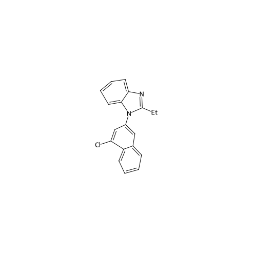 CCc1nc2ccccc2n1-c1cc(Cl)c2ccccc2c1